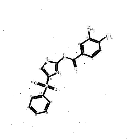 Cc1ccc(C(=O)Nc2nc(S(=O)(=O)c3ccccc3)cs2)cc1C